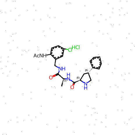 CC(=O)Nc1ccc(Cl)cc1CNC(=O)[C@H](C)NC(=O)[C@H]1C[C@H](c2ccccc2)CN1.Cl